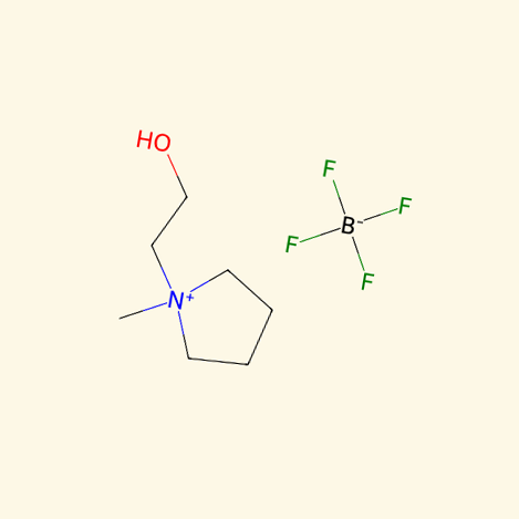 C[N+]1(CCO)CCCC1.F[B-](F)(F)F